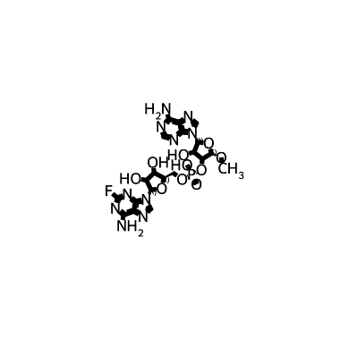 CO[C@H]1O[C@@H](n2cnc3c(N)ncnc32)C(O)C1OP(=O)(O)OC[C@H]1O[C@@H](n2cnc3c(N)nc(F)nc32)C(O)C1O